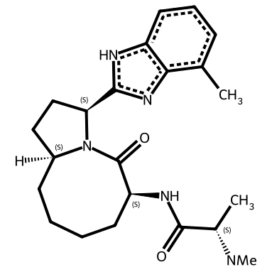 CN[C@@H](C)C(=O)N[C@H]1CCCC[C@H]2CC[C@@H](c3nc4c(C)cccc4[nH]3)N2C1=O